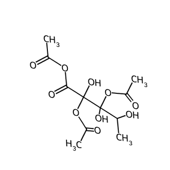 CC(=O)OC(=O)C(O)(OC(C)=O)C(O)(OC(C)=O)C(C)O